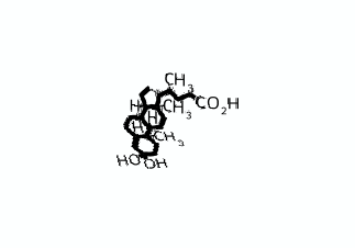 C[C@H](CCC(=O)O)[C@H]1CC[C@H]2[C@@H]3CCC4=CC(O)(O)CC[C@]4(C)[C@H]3CC[C@]12C